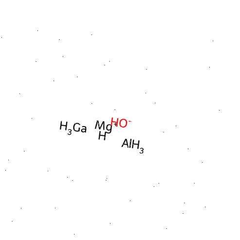 [AlH3].[GaH3].[MgH+].[OH-]